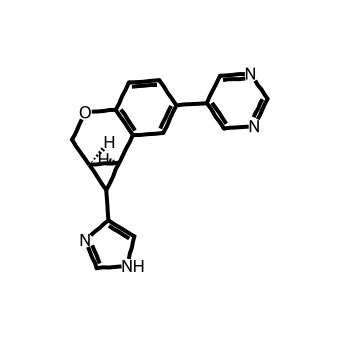 c1ncc(-c2ccc3c(c2)[C@H]2C(c4c[nH]cn4)[C@H]2CO3)cn1